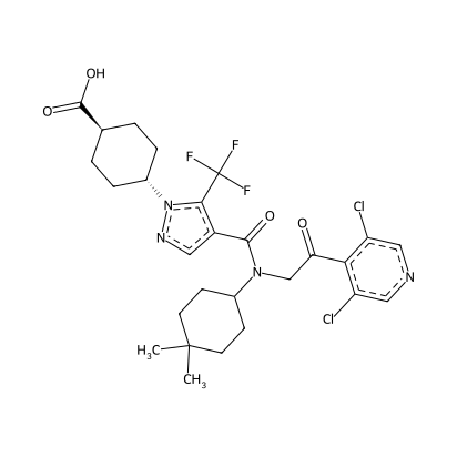 CC1(C)CCC(N(CC(=O)c2c(Cl)cncc2Cl)C(=O)c2cnn([C@H]3CC[C@H](C(=O)O)CC3)c2C(F)(F)F)CC1